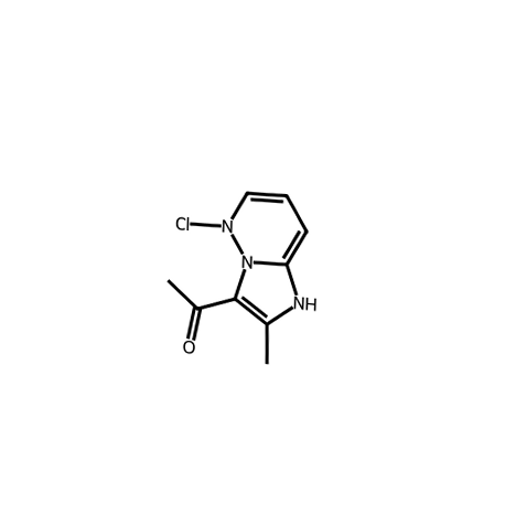 CC(=O)C1=C(C)NC2=CC=CN(Cl)N21